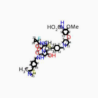 COc1cc(OC2CCN(CC3CCC(CSC(C)(C)[C@@H](NC(=O)C4(F)CC4)C(=O)N4C[C@H](O)C[C@H]4C(=O)NCc4ccc(-c5scnc5C)cc4)CC3)CC2)ccc1NC(=O)O